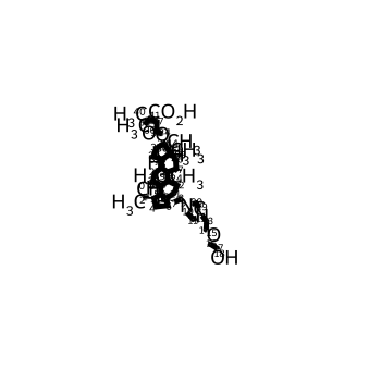 C=C(C)[C@@H]1CC[C@]2(CCN3CCN(CCOCCO)CC3)CC[C@]3(C)[C@H](CC[C@@H]4[C@@]5(C)CC[C@H](OC(=O)CC(C)(C)C(=O)O)C(C)(C)[C@@H]5CC[C@]43C)[C@@H]12